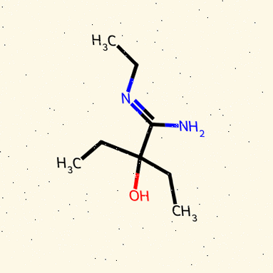 CCN=C(N)C(O)(CC)CC